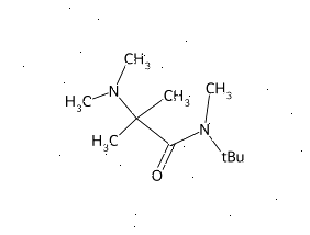 CN(C(=O)C(C)(C)N(C)C)C(C)(C)C